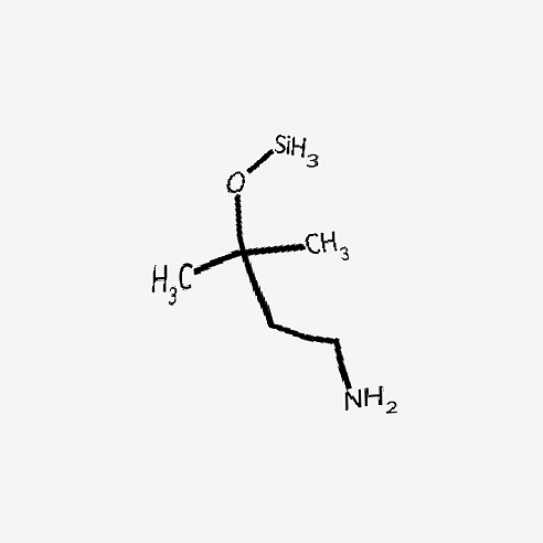 CC(C)(CCN)O[SiH3]